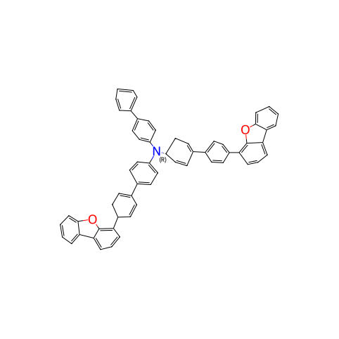 C1=C[C@H](N(c2ccc(C3=CCC(c4cccc5c4oc4ccccc45)C=C3)cc2)c2ccc(-c3ccccc3)cc2)CC=C1c1ccc(-c2cccc3c2oc2ccccc23)cc1